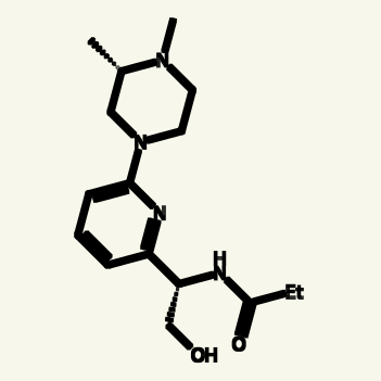 CCC(=O)N[C@H](CO)c1cccc(N2CCN(C)[C@@H](C)C2)n1